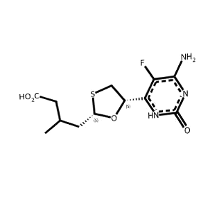 CC(CC(=O)O)C[C@H]1O[C@@H](c2[nH]c(=O)nc(N)c2F)CS1